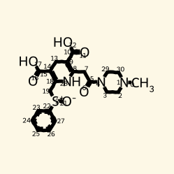 CN1CCN(C(=O)CC2=C(C(=O)O)CC(C(=O)O)=C(C[S+]([O-])c3ccccc3)N2)CC1